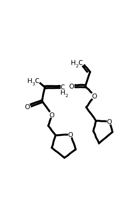 C=C(C)C(=O)OCC1CCCO1.C=CC(=O)OCC1CCCO1